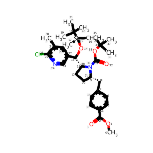 COC(=O)c1ccc(C[C@@H]2CC[C@H](C(O[Si](C)(C)C(C)(C)C)c3cnc(Cl)c(C)c3)N2C(=O)OC(C)(C)C)cc1